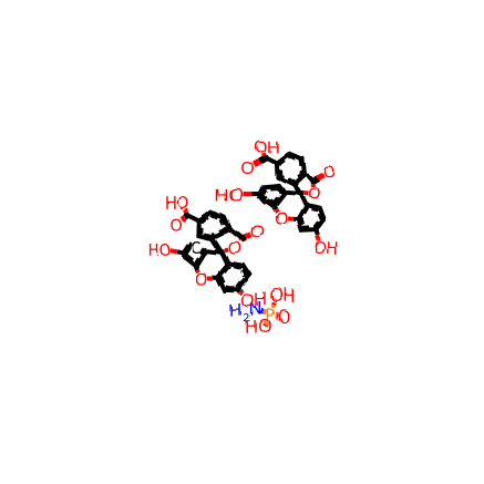 NP(=O)(O)O.O=C(O)c1ccc2c(c1)C1(OC2=O)c2ccc(O)cc2Oc2cc(O)ccc21.O=C(O)c1ccc2c(c1)C1(OC2=O)c2ccc(O)cc2Oc2cc(O)ccc21